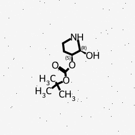 CC(C)(C)OC(=O)O[C@H]1CCNC[C@H]1O